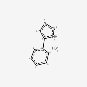 Br.c1ccc(-c2nnn[nH]2)cc1